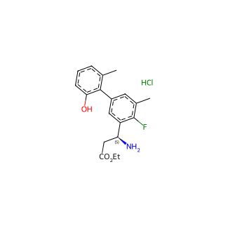 CCOC(=O)C[C@H](N)c1cc(-c2c(C)cccc2O)cc(C)c1F.Cl